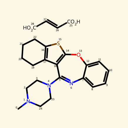 CN1CCN(C2=Nc3ccccc3Oc3sc4c(c32)CCCC4)CC1.O=C(O)C=CC(=O)O